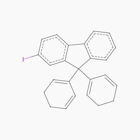 Ic1ccc2c(c1)C(C1=CCCC=C1)(C1=CCCC=C1)c1ccccc1-2